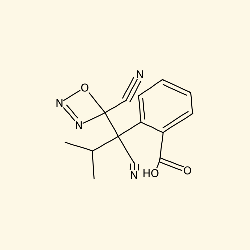 CC(C)C(C#N)(c1ccccc1C(=O)O)C1(C#N)N=NO1